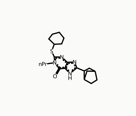 CCCn1c(SC2CCCCC2)nc2nc(C3CC4CCC3C4)[nH]c2c1=O